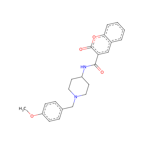 COc1ccc(CN2CCC(NC(=O)c3cc4ccccc4oc3=O)CC2)cc1